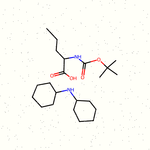 C1CCC(NC2CCCCC2)CC1.CCCC(NC(=O)OC(C)(C)C)C(=O)O